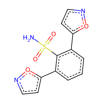 NS(=O)(=O)c1c(-c2ccno2)cccc1-c1ccno1